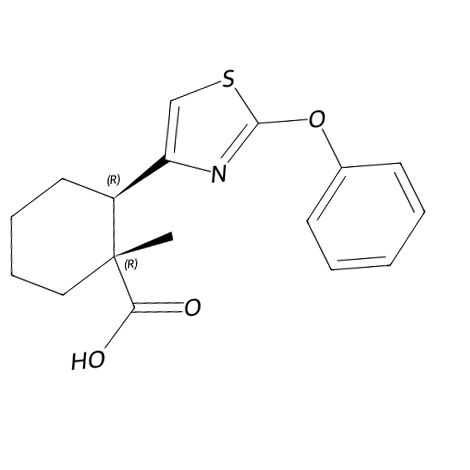 C[C@@]1(C(=O)O)CCCC[C@H]1c1csc(Oc2ccccc2)n1